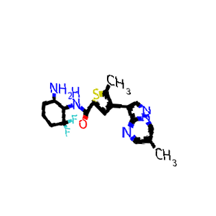 Cc1cnc2c(-c3cc(C(=O)NC4C(N)CCCC4(F)F)sc3C)cnn2c1